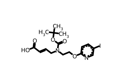 CC(C)(C)OC(=O)N(C/C=C/C(=O)O)CCOc1ccc(I)cn1